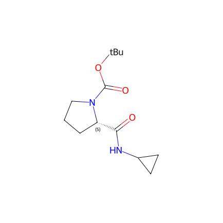 CC(C)(C)OC(=O)N1CCC[C@H]1C(=O)NC1CC1